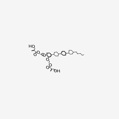 C=C(CO)C(=O)OCCOc1ccc(C2CCC(c3ccc(C4CCC(CCCCC)CC4)cc3)CC2)cc1OCCOC(=O)C(=C)CO